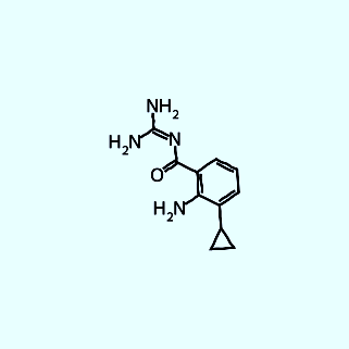 NC(N)=NC(=O)c1cccc(C2CC2)c1N